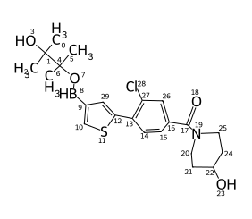 CC(C)(O)C(C)(C)OBc1csc(-c2ccc(C(=O)N3CCC(O)CC3)cc2Cl)c1